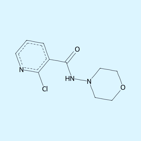 O=C(NN1CCOCC1)c1cccnc1Cl